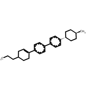 CCCC1CC=C(c2ccc(-c3ccc([C@H]4CC[C@H](C)CC4)cc3)cc2)CC1